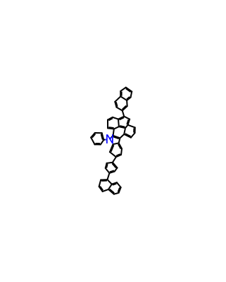 c1ccc(-n2c3cc(-c4ccc(-c5cccc6ccccc56)cc4)ccc3c3c4cccc5cc(-c6ccc7ccccc7c6)c6cccc(c6c54)c32)cc1